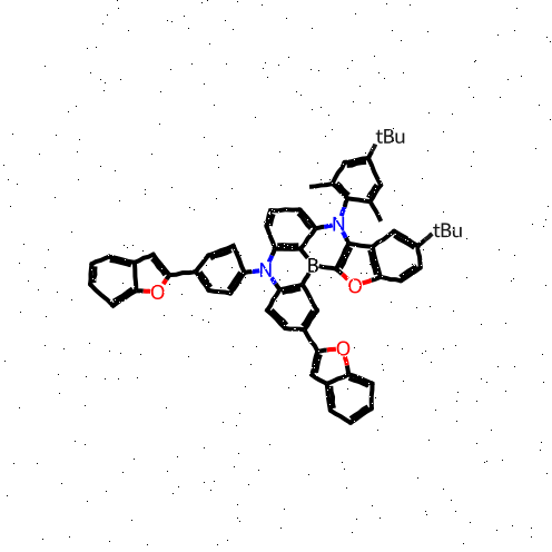 Cc1cc(C(C)(C)C)cc(C)c1N1c2cccc3c2B(c2cc(-c4cc5ccccc5o4)ccc2N3c2ccc(-c3cc4ccccc4o3)cc2)c2oc3ccc(C(C)(C)C)cc3c21